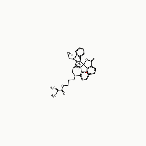 C=C(C)C(=O)OCCCC1CCC(C)=C(C2(c3c(C)n(CC)c4ccccc34)OC(=O)c3ccccc32)c2ccccc21